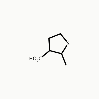 CC1SCCC1C(=O)O